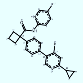 O=C(Nc1ccc(F)cn1)C1(c2ccc(-c3cnc(C4CC4)cc3F)cc2)CCC1